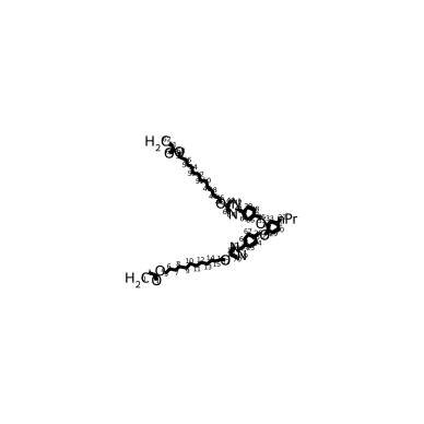 C=CC(=O)OCCCCCCCCCCCCOc1cnc(-c2ccc(COc3ccc(CCC)cc3OCc3ccc(-c4ncc(OCCCCCCCCCCCCOC(=O)C=C)cn4)cc3)cc2)nc1